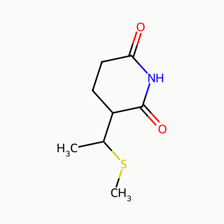 CSC(C)C1CCC(=O)NC1=O